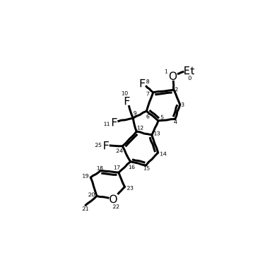 CCOc1ccc2c(c1F)C(F)(F)c1c-2ccc(C2=CCC(C)OC2)c1F